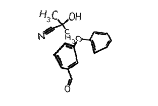 CC(C)(O)C#N.O=Cc1cccc(Oc2ccccc2)c1